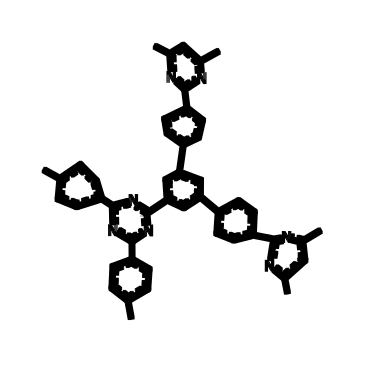 Cc1ccc(-c2nc(-c3ccc(C)cc3)nc(-c3cc(-c4ccc(-c5nc(C)cc(C)n5)cc4)cc(-c4ccc(-c5nc(C)cc(C)n5)cc4)c3)n2)cc1